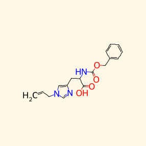 C=CCn1cnc(CC(NC(=O)OCc2ccccc2)C(=O)O)c1